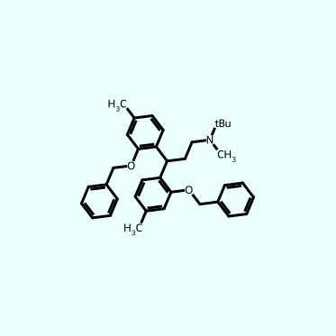 Cc1ccc(C(CCN(C)C(C)(C)C)c2ccc(C)cc2OCc2ccccc2)c(OCc2ccccc2)c1